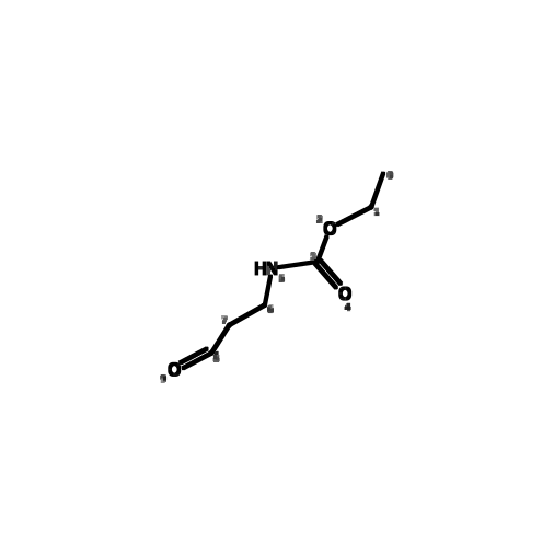 CCOC(=O)NCC[C]=O